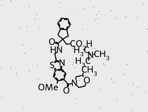 CN(C)C.COc1cc2sc(CNC(=O)C3(CC(=O)O)Cc4ccccc4C3)nc2cc1C(=O)N1CCOC(C)C1